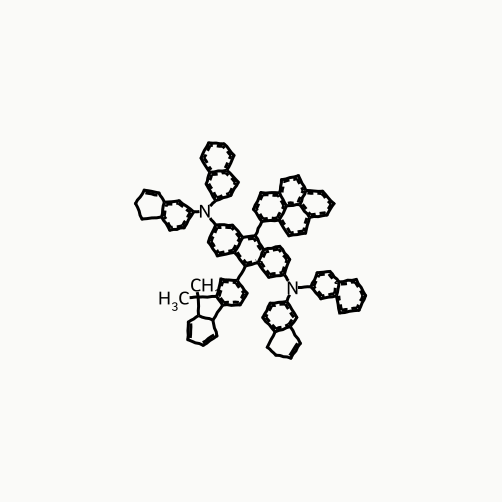 CC1(C)c2cc(-c3c4cc(N(c5ccc6c(c5)C=CCC6)c5ccc6ccccc6c5)ccc4c(-c4ccc5ccc6cccc7ccc4c5c67)c4cc(N(c5ccc6c(c5)C=CCC6)c5ccc6ccccc6c5)ccc34)ccc2C2C=CC=CC21